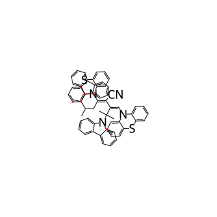 CC(C/C(=C(C#N)\C(=C\N1c2ccccc2Sc2ccccc21)C(C)(C)n1c2ccccc2c2ccccc21)N1c2ccccc2Sc2ccccc21)C(C)C1c2ccccc2-c2ccccc21